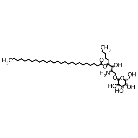 CCCCCCCCCCCCCCCCCCCCCCCCCC(=O)O[C@H](CCCCC)[C@@H](O)[C@@H](N)CO[C@H]1O[C@H](CO)[C@H](O)[C@H](O)[C@H]1O